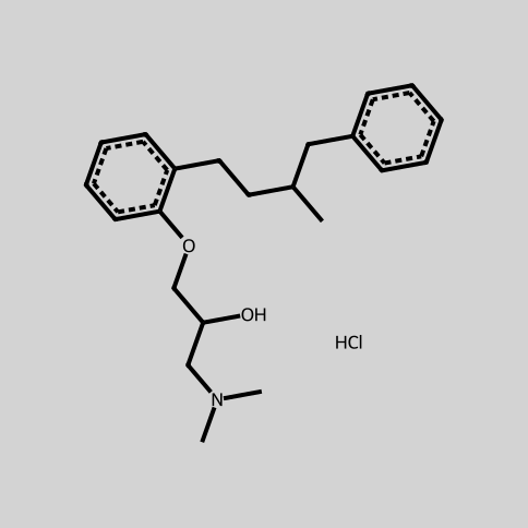 CC(CCc1ccccc1OCC(O)CN(C)C)Cc1ccccc1.Cl